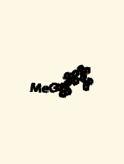 COc1ccc(N(c2ccc(C3(c4cccc(-c5cc(-n6c7ccccc7c7ccccc76)cc(-n6c7ccccc7c7ccccc76)c5)c4)c4ccccc4-c4ccccc43)cc2)c2cccc3ccccc23)cc1